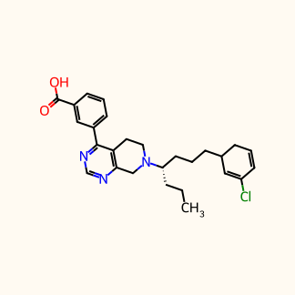 CCC[C@@H](CCCC1C=C(Cl)C=CC1)N1CCc2c(ncnc2-c2cccc(C(=O)O)c2)C1